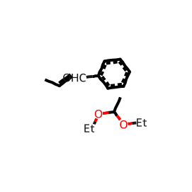 C=CC.CCOC(C)OCC.O=Cc1ccccc1